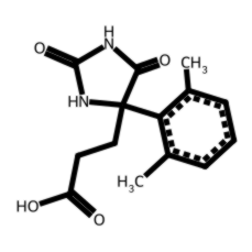 Cc1cccc(C)c1C1(CCC(=O)O)NC(=O)NC1=O